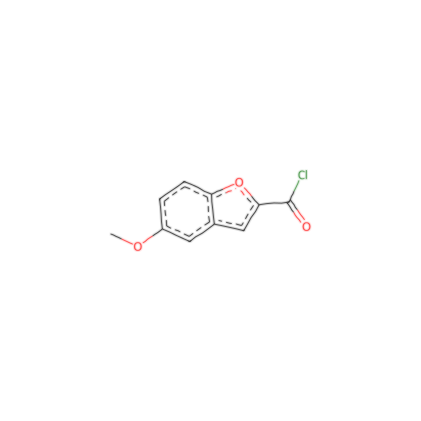 COc1ccc2oc(C(=O)Cl)cc2c1